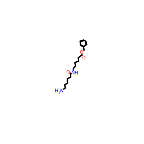 NCCCCCC(=O)NCCCCCC(=O)OCc1ccccc1